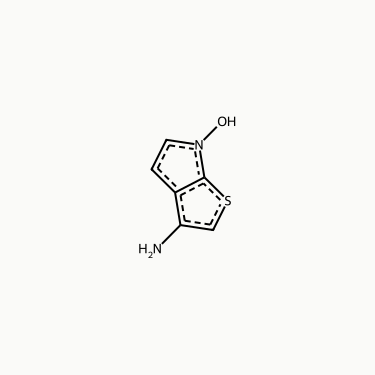 Nc1csc2c1ccn2O